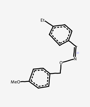 CCc1ccc(/[C]=N\OCc2ccc(OC)cc2)cc1